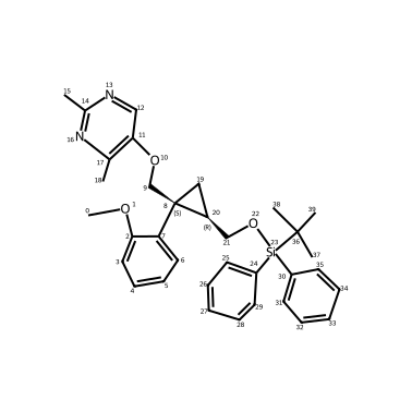 COc1ccccc1[C@]1(COc2cnc(C)nc2C)C[C@H]1CO[Si](c1ccccc1)(c1ccccc1)C(C)(C)C